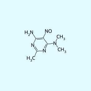 Cc1nc(N)c(N=O)c(N(C)C)n1